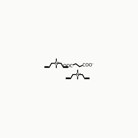 C=CC[N+](C)(C)CC=C.C=CC[N+](C)(C)CC=C.O=C([O-])CCC(=O)[O-]